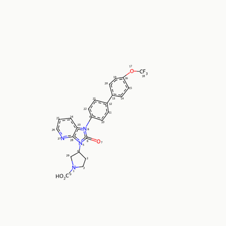 O=C(O)N1CCC(n2c(=O)n(-c3ccc(-c4ccc(OC(F)(F)F)cc4)cc3)c3cccnc32)C1